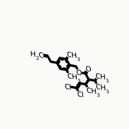 C=CCc1cc(C)c(COC(=O)C(C(C)C)C(C)C=C(Cl)Cl)c(C)c1